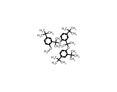 CC(C)(C)c1ccc(OC(C)(C)c2cc(C(C)(C)C)ccc2OC(C)(C)c2cc(C(C)(C)C)ccc2OP)c(C(C)(C)C)c1